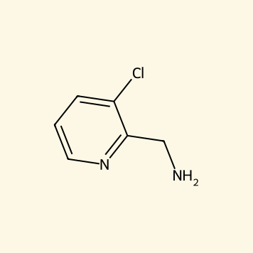 NCc1ncccc1Cl